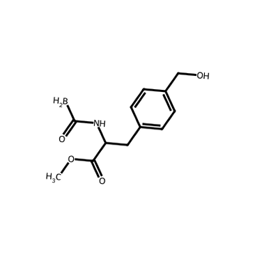 BC(=O)NC(Cc1ccc(CO)cc1)C(=O)OC